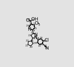 COc1cc(C2=NN(c3ccc(C#N)c(Cl)c3)C(C3CCCC3)C2)ncc1C(=O)O